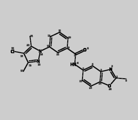 Cc1nc2cc(NC(=O)c3cccc(-n4nc(C)c(Cl)c4C)c3)ccc2o1